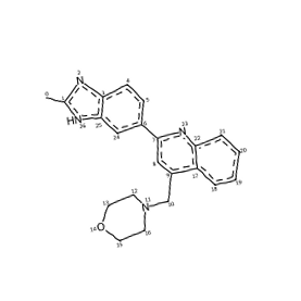 Cc1nc2ccc(-c3cc(CN4CCOCC4)c4ccccc4n3)cc2[nH]1